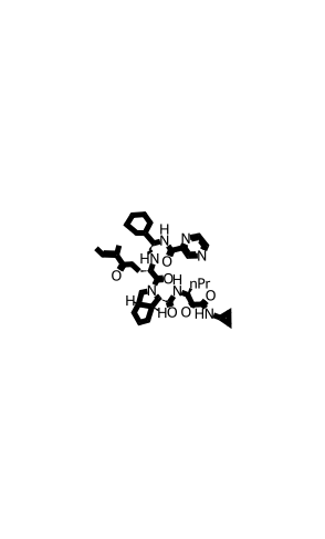 C/C=C(\C)C(=O)CC[C@H](NC[C@@H](NC(=O)c1cnccn1)C1CCCCC1)C(=O)N1C[C@@H]2CCC[C@@H]2[C@H]1C(=O)N[C@@H](CCC)C(=O)C(=O)NC1CC1